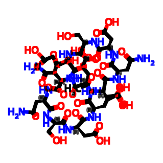 CC(=O)N[C@H](CC(=O)O)C(=O)N[C@H](CC(N)=O)C(=O)N[C@H](CC(=O)O)C(=O)N[C@H](CO)C(=O)N[C@H](CCC(=O)O)C(=O)N[C@H](CC(=O)O)C(=O)N[C@H](CC(N)=O)C(=O)N[C@H](CO)C(=O)N[C@H](CC(=O)O)C(=O)N[C@H](CCC(=O)O)C(=O)N[C@H](CCC(=O)O)C(=O)N[C@@H](C=O)CC(N)=O